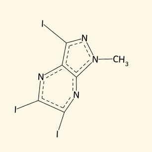 Cn1nc(I)c2nc(I)c(I)nc21